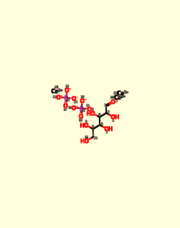 O=CC(O)C(O)C(O)C(O)CO.O=P([O-])([O-])[O-].O=P([O-])([O-])[O-].[Ca+2].[Ca+2].[Ca+2]